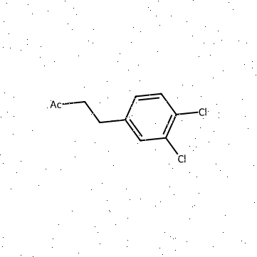 CC(=O)CCc1ccc(Cl)c(Cl)c1